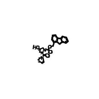 O=C([C@@H]1C[C@@H](O)CN1C(=O)OCc1cccc2c1Cc1ccccc1-2)N1CCSC1